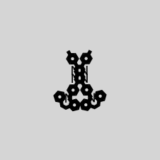 Cc1ccc(-c2nc3nc(-c4ccc(N5c6ccccc6CCc6ccccc65)cc4)c(-c4ccc(N5c6ccccc6CCc6ccccc65)cc4)nc3nc2-c2ccc(C)cc2)cc1